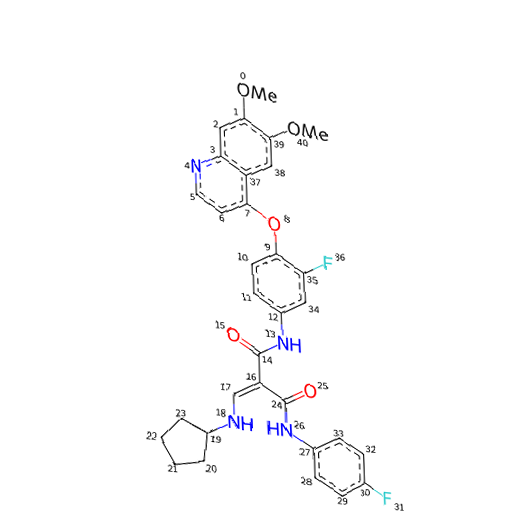 COc1cc2nccc(Oc3ccc(NC(=O)/C(=C/NC4CCCC4)C(=O)Nc4ccc(F)cc4)cc3F)c2cc1OC